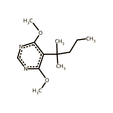 CCCC(C)(C)c1c(OC)ncnc1OC